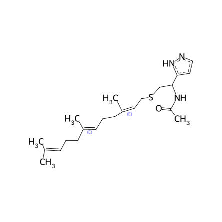 CC(=O)NC(CSC/C=C(\C)CC/C=C(\C)CCC=C(C)C)c1ccn[nH]1